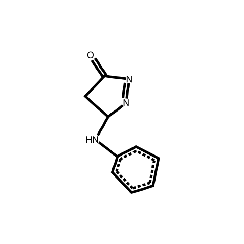 O=C1CC(Nc2ccccc2)N=N1